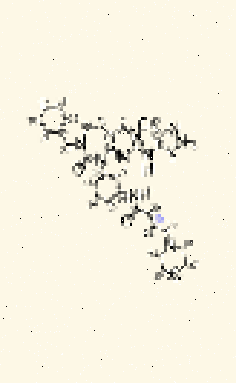 Cn1cc(Nc2ncc3c(n2)N(c2cccc(NC(=O)/C=C/CN4CCOCC4)c2)C(=O)N(Cc2ccccc2)CC3)c(Cl)n1